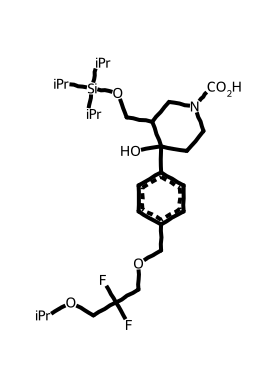 CC(C)OCC(F)(F)COCc1ccc(C2(O)CCN(C(=O)O)CC2CO[Si](C(C)C)(C(C)C)C(C)C)cc1